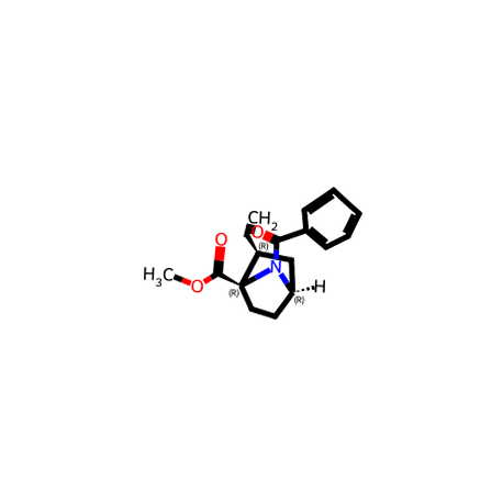 C=C[C@H]1C[C@H]2CC[C@@]1(C(=O)OC)N2C(=O)c1ccccc1